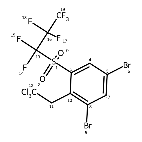 O=S(=O)(c1cc(Br)[c]c(Br)c1CC(Cl)(Cl)Cl)C(F)(F)C(F)(F)C(F)(F)F